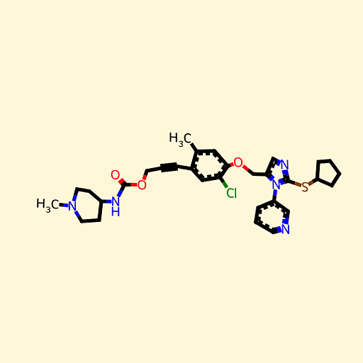 Cc1cc(OCc2cnc(SC3CCCC3)n2-c2cccnc2)c(Cl)cc1C#CCOC(=O)NC1CCN(C)CC1